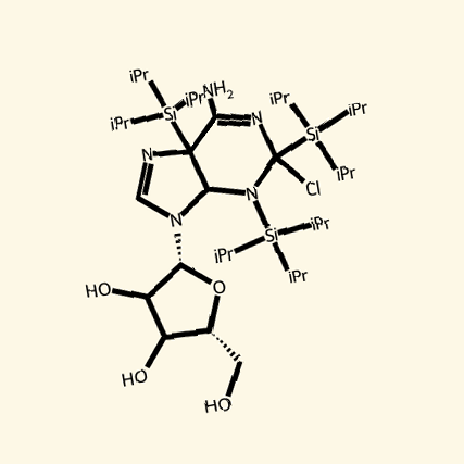 CC(C)[Si](C(C)C)(C(C)C)N1C2N([C@@H]3O[C@H](CO)C(O)C3O)C=NC2([Si](C(C)C)(C(C)C)C(C)C)C(N)=NC1(Cl)[Si](C(C)C)(C(C)C)C(C)C